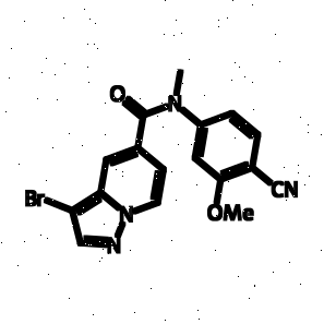 COc1cc(N(C)C(=O)c2ccn3ncc(Br)c3c2)ccc1C#N